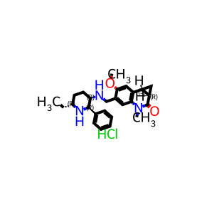 CC[C@@H]1CC[C@@H](NCc2cc3c(cc2OC)[C@H]2C[C@H]2C(=O)N3C)[C@@H](c2ccccc2)N1.Cl